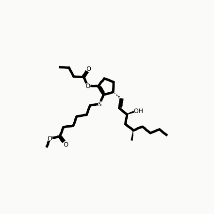 CCCC[C@@H](C)C[C@H](O)/C=C/[C@H]1CCC(OC(=O)CCC)=C1SCCCCCC(=O)OC